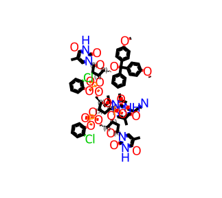 COc1ccc(C(OC[C@H]2O[C@@H](n3cc(C)c(=O)[nH]c3=O)C[C@@H]2OP(=O)(OC[C@H]2O[C@@H](n3cc(C)c(=O)[nH]c3=O)C[C@@H]2OP(=O)(OC[C@H]2O[C@@H](n3cc(C)c(=O)[nH]c3=O)C[C@@H]2OP(OCCC#N)N(C(C)C)C(C)C)Oc2ccccc2Cl)Oc2ccccc2Cl)(c2ccccc2)c2ccc(OC)cc2)cc1